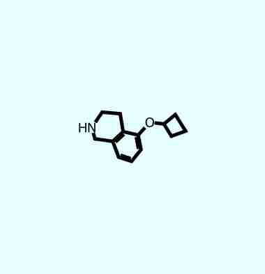 c1cc2c(c(OC3CCC3)c1)CCNC2